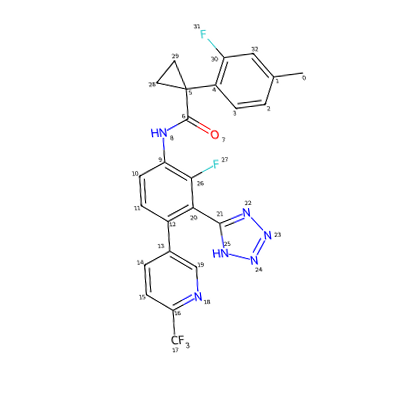 Cc1ccc(C2(C(=O)Nc3ccc(-c4ccc(C(F)(F)F)nc4)c(-c4nnn[nH]4)c3F)CC2)c(F)c1